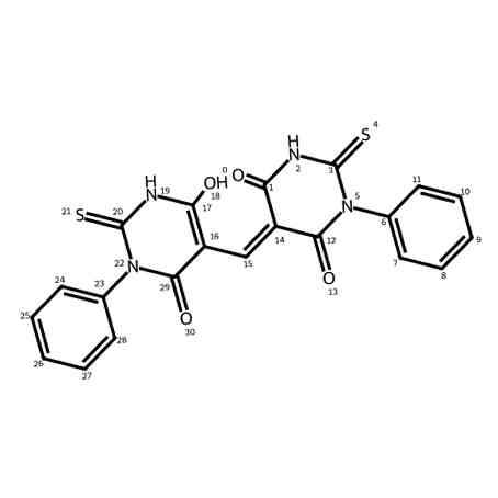 O=C1NC(=S)N(c2ccccc2)C(=O)C1=Cc1c(O)[nH]c(=S)n(-c2ccccc2)c1=O